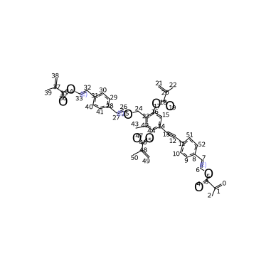 C=C(C)C(=O)O/C=C/c1ccc(C#Cc2cc(OC(=O)C(=C)C)c(CO/C=C/c3ccc(/C=C/OC(=O)C(=C)C)cc3)c(C)c2OC(=O)C(=C)C)cc1